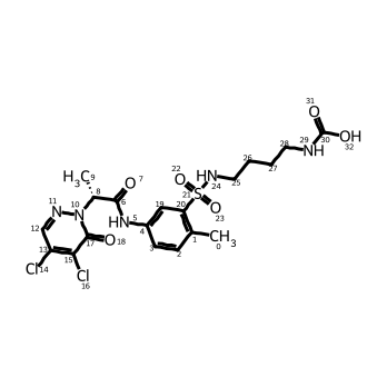 Cc1ccc(NC(=O)[C@@H](C)n2ncc(Cl)c(Cl)c2=O)cc1S(=O)(=O)NCCCCNC(=O)O